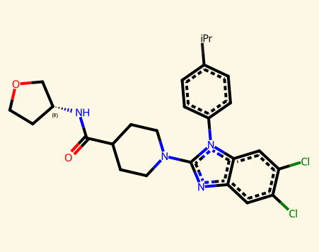 CC(C)c1ccc(-n2c(N3CCC(C(=O)N[C@@H]4CCOC4)CC3)nc3cc(Cl)c(Cl)cc32)cc1